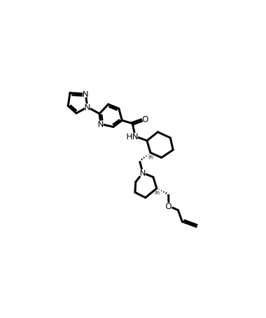 C=CCOC[C@@H]1CCCN(C[C@H]2CCCCC2NC(=O)c2ccc(-n3cccn3)nc2)C1